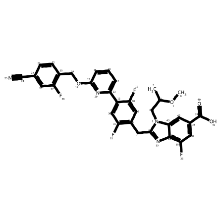 COC(C)Cn1c(Cc2cc(F)c(-c3cccc(OCc4ccc(C#N)cc4F)n3)cc2F)nc2c(F)cc(C(=O)O)cc21